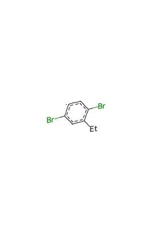 CCc1cc(Br)[c]cc1Br